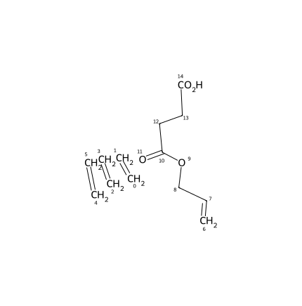 C=C.C=C.C=C.C=CCOC(=O)CCC(=O)O